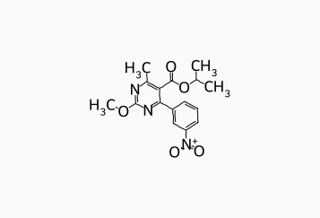 COc1nc(C)c(C(=O)OC(C)C)c(-c2cccc([N+](=O)[O-])c2)n1